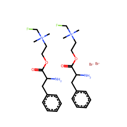 C[N+](C)(CF)CCOC(=O)C(N)Cc1ccccc1.C[N+](C)(CF)CCOC(=O)C(N)Cc1ccccc1.[Br-].[Br-]